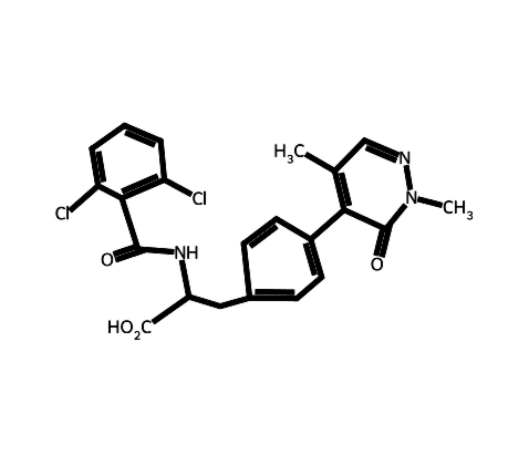 Cc1cnn(C)c(=O)c1-c1ccc(CC(NC(=O)c2c(Cl)cccc2Cl)C(=O)O)cc1